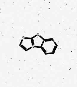 c1ccc2c(c1)sc1scc[n+]12